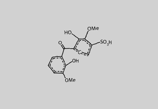 COc1cccc(C(=O)c2ccc(S(=O)(=O)O)c(OC)c2O)c1O